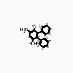 Cc1cc(N)c(N)c(-c2ccccc2)c1-c1ccccc1